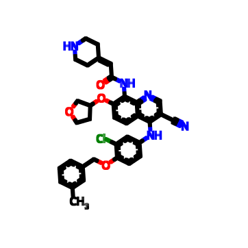 Cc1cccc(COc2ccc(Nc3c(C#N)cnc4c(NC(=O)C=C5CCNCC5)c(OC5CCOC5)ccc34)cc2Cl)c1